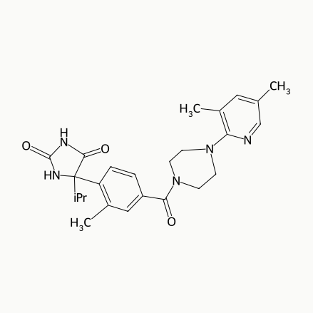 Cc1cnc(N2CCN(C(=O)c3ccc(C4(C(C)C)NC(=O)NC4=O)c(C)c3)CC2)c(C)c1